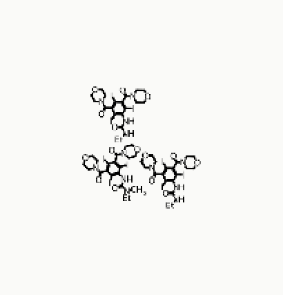 CCN(C)C(=O)Nc1c(I)c(C(=O)N2CCOCC2)c(I)c(C(=O)N2CCOCC2)c1I.CCNC(=O)Nc1c(I)c(C(=O)N2CCOCC2)c(I)c(C(=O)N2CCOCC2)c1I.CCNC(=O)Nc1c(I)c(C(=O)N2CCOCC2)c(I)c(C(=O)N2CCOCC2)c1I